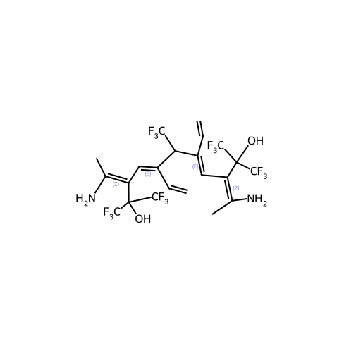 C=C/C(=C\C(=C(/C)N)C(O)(C(F)(F)F)C(F)(F)F)C(/C(C=C)=C/C(=C(\C)N)C(O)(C(F)(F)F)C(F)(F)F)C(F)(F)F